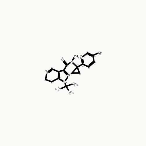 CN(C(=O)c1nn(C(C)(C)C)c2c1C=NCC2)C1(c2ccc(O)cn2)CC1